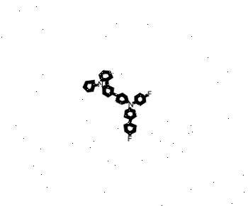 Fc1ccc(-c2ccc(N(c3ccc(F)cc3)c3ccc(-c4ccc5c(c4)c4ccccc4n5-c4ccccc4)cc3)cc2)cc1